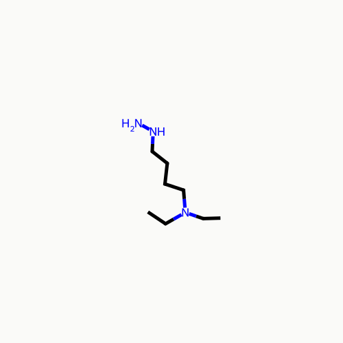 CCN(CC)CCCCNN